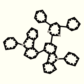 c1ccc(-c2cc(-c3ccccc3)nc(-c3cc(-c4cccc5c4c4ccccc4n5-c4ccccc4)c4c5ccccc5n(-c5ccccc5)c4c3)n2)cc1